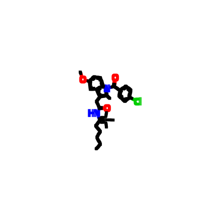 CCCCCC(NC(=O)Cc1c(C)n(C(=O)c2ccc(Cl)cc2)c2ccc(OC)cc12)[Si](C)(C)C